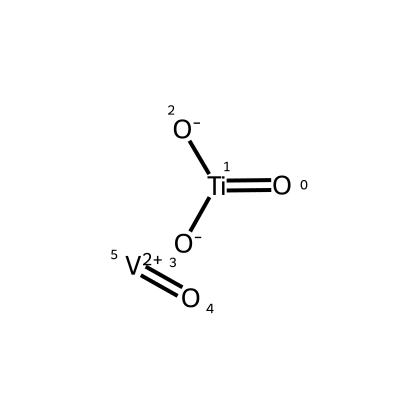 [O]=[Ti]([O-])[O-].[O]=[V+2]